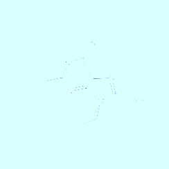 CCCCCc1nc(N)c2nc(OC)n(CCl)c2n1